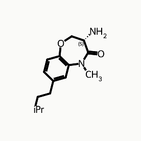 CC(C)CCc1ccc2c(c1)N(C)C(=O)[C@@H](N)CO2